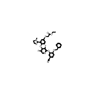 CCOC(=O)CSc1ccc(Oc2c(F)cnc(Oc3cc(C#N)ccc3OCc3ccccc3)c2F)c(C2N=CCN2C)c1